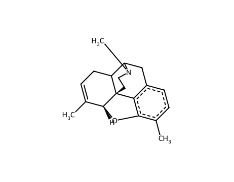 CC1=CCC2C3Cc4ccc(C)c5c4[C@]2(CCN3C)[C@@H]1O5